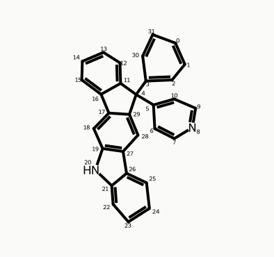 c1ccc(C2(c3ccncc3)c3ccccc3-c3cc4[nH]c5ccccc5c4cc32)cc1